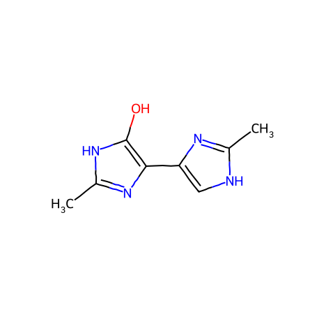 Cc1nc(-c2nc(C)[nH]c2O)c[nH]1